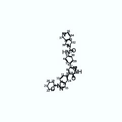 O=C(Nc1ccc(-c2cc(-c3ccc4c(cnn4C4CCCCO4)c3)c(=O)[nH]n2)cc1)N1Cc2ccncc2C1